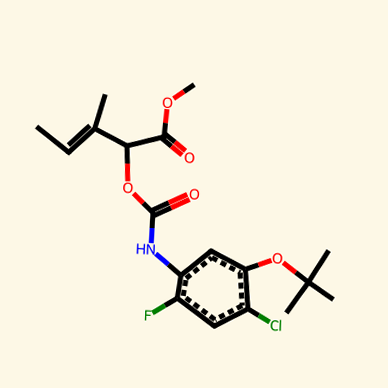 CC=C(C)C(OC(=O)Nc1cc(OC(C)(C)C)c(Cl)cc1F)C(=O)OC